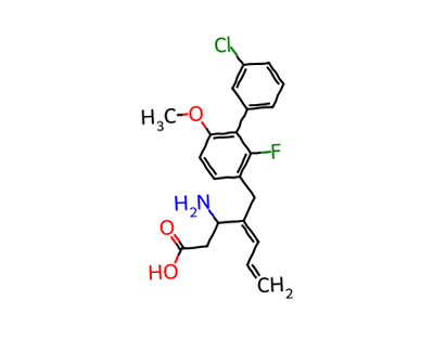 C=C/C=C(/Cc1ccc(OC)c(-c2cccc(Cl)c2)c1F)C(N)CC(=O)O